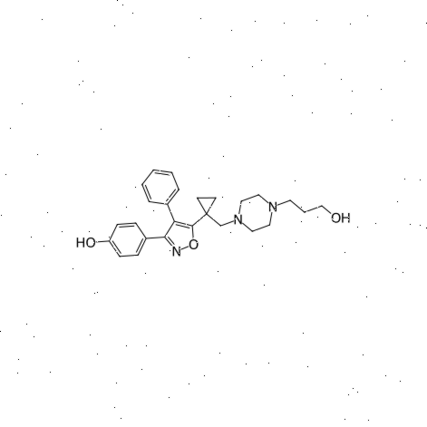 OCCCN1CCN(CC2(c3onc(-c4ccc(O)cc4)c3-c3ccccc3)CC2)CC1